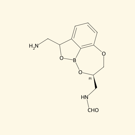 NCC1OB2O[C@H](CNC=O)COc3cccc1c32